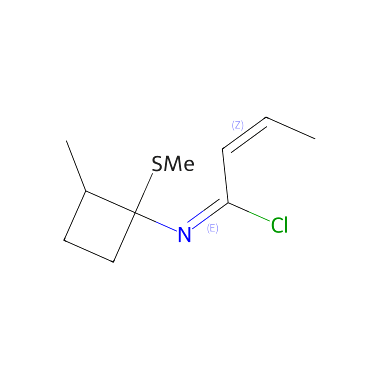 C/C=C\C(Cl)=N/C1(SC)CCC1C